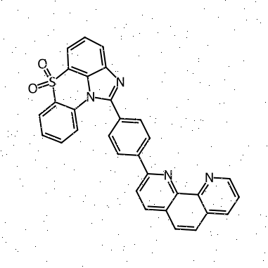 O=S1(=O)c2ccccc2-n2c(-c3ccc(-c4ccc5ccc6cccnc6c5n4)cc3)nc3cccc1c32